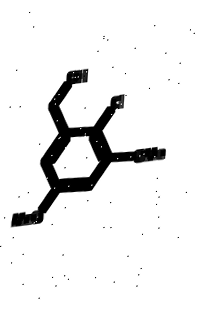 COc1cc(CO)c(Cl)c(OC)c1